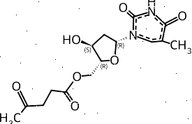 CC(=O)CCC(=O)OC[C@H]1O[C@@H](n2cc(C)c(=O)[nH]c2=O)C[C@@H]1O